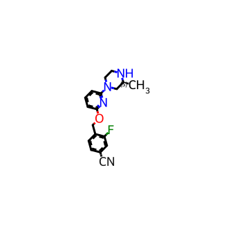 C[C@H]1CN(c2cccc(OCc3ccc(C#N)cc3F)n2)CCN1